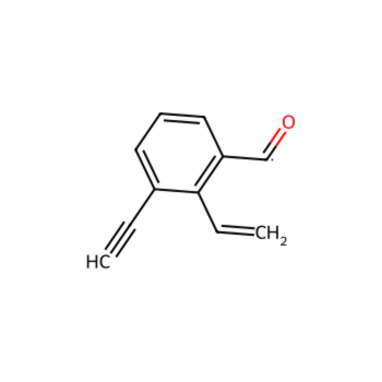 C#Cc1cccc([C]=O)c1C=C